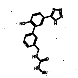 CC(C)(C)NC(=O)NCc1cccc(-c2cc(-c3nnn[nH]3)ccc2O)c1